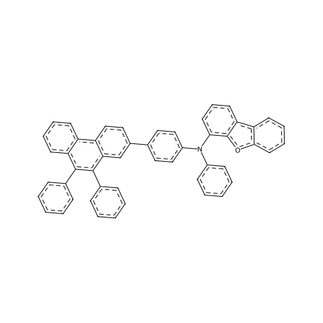 c1ccc(-c2c(-c3ccccc3)c3cc(-c4ccc(N(c5ccccc5)c5cccc6c5oc5ccccc56)cc4)ccc3c3ccccc23)cc1